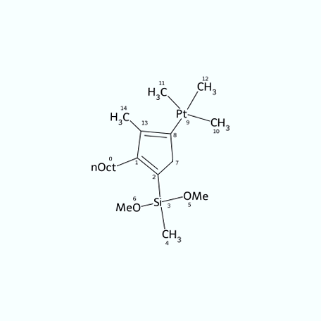 CCCCCCCCC1=C([Si](C)(OC)OC)C[C]([Pt]([CH3])([CH3])[CH3])=C1C